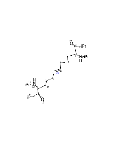 CC(C)NC(CCC/C=C/CCCC(NC(C)C)C(=O)C(C)C)C(=O)C(C)C